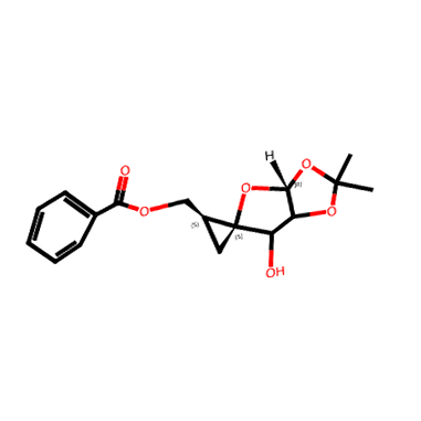 CC1(C)OC2C(O)[C@@]3(C[C@H]3COC(=O)c3ccccc3)O[C@@H]2O1